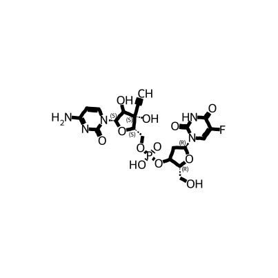 C#C[C@]1(O)C(O)[C@@H](n2ccc(N)nc2=O)O[C@H]1COP(=O)(O)OC1C[C@H](n2cc(F)c(=O)[nH]c2=O)O[C@@H]1CO